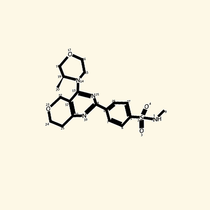 CNS(=O)(=O)c1ccc(-c2nc3c(c(N4CCOC[C@@H]4C)n2)COCC3)cc1